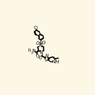 CC1Cc2nc(C(=O)N3CCN(S(=O)(=O)c4ccc5cc(Cl)ccc5c4)CC3C(N)=O)sc2CN1